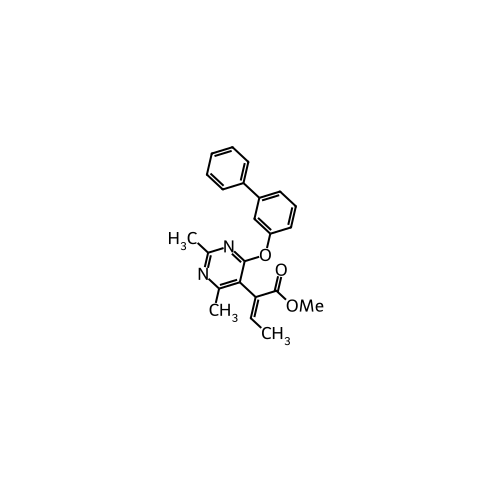 CC=C(C(=O)OC)c1c(C)nc(C)nc1Oc1cccc(-c2ccccc2)c1